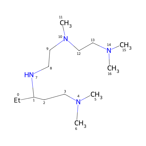 CCC(CCN(C)C)NCCN(C)CCN(C)C